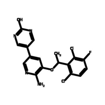 CC(Oc1cc(-c2cnc(O)nc2)cnc1N)c1c(Cl)ccc(F)c1Cl